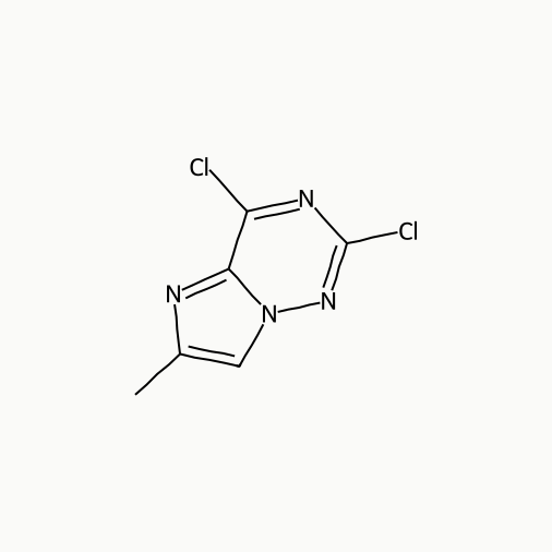 Cc1cn2nc(Cl)nc(Cl)c2n1